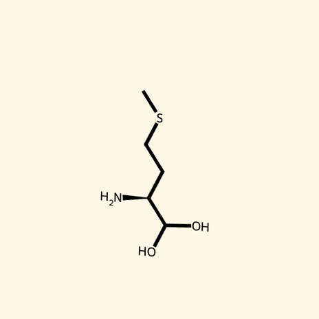 CSCC[C@H](N)C(O)O